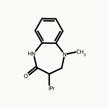 CC(C)C1CN(C)c2ccccc2NC1=O